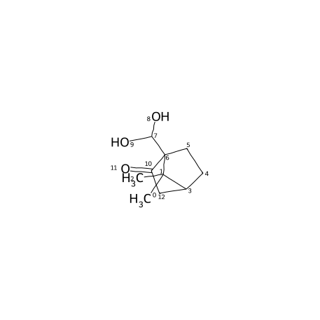 CC1(C)C2CCC1(C(O)O)C(=O)C2